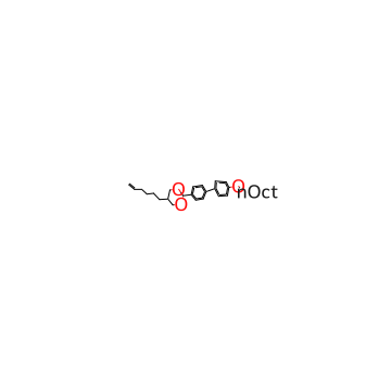 C=CCCCCC1COC(c2ccc(-c3ccc(OCCCCCCCC)cc3)cc2)OC1